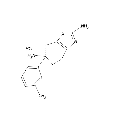 Cc1cccc(C2(N)CCc3nc(N)sc3C2)c1.Cl